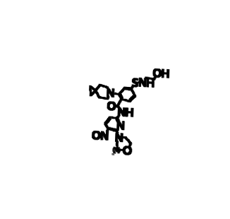 C[C@@H]1CN(c2nc(NC(=O)c3ccc(SNCCO)cc3N3CCC4(CC3)CC4)ccc2N=O)CCO1